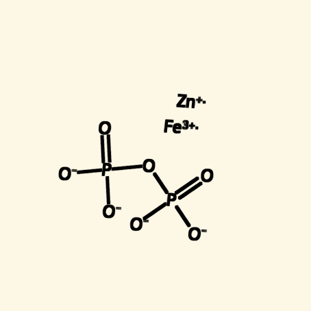 O=P([O-])([O-])OP(=O)([O-])[O-].[Fe+3].[Zn+]